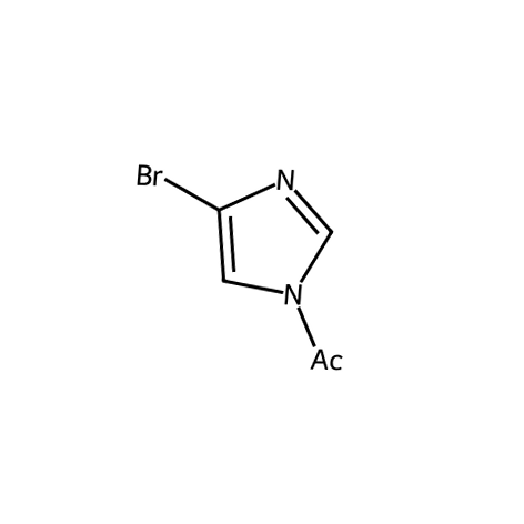 CC(=O)n1cnc(Br)c1